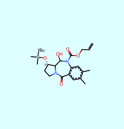 C=CCOC(=O)N1c2cc(C)c(C)cc2C(=O)N2CC[C@H](O[Si](C)(C)C(C)(C)C)C2C1O